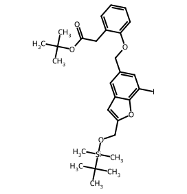 CC(C)(C)OC(=O)Cc1ccccc1OCc1cc(I)c2oc(CO[Si](C)(C)C(C)(C)C)cc2c1